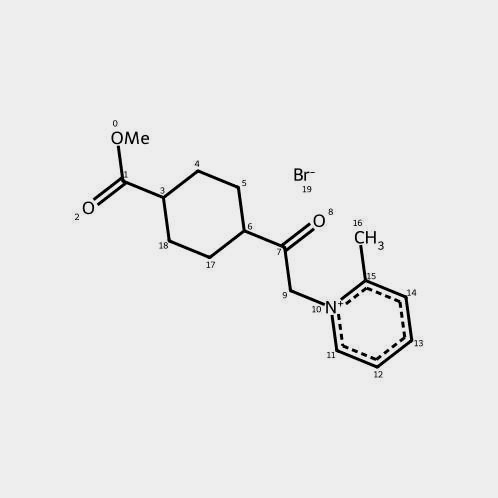 COC(=O)C1CCC(C(=O)C[n+]2ccccc2C)CC1.[Br-]